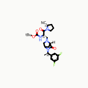 C[C@H](c1cc(F)cc(F)c1)N1C(=O)[C@@H]2CC1CN2C[C@H](NC(=O)OC(C)(C)C)C(=O)N1CCC[C@H]1C#N